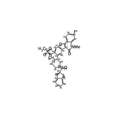 CNC(=O)c1c(-c2ccc(F)cc2)oc2cc(N(C)S(C)(=O)=O)c(C3CCCN(C(=O)c4nc5ccccc5s4)C3)cc12